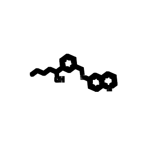 CCCCC(O)c1cccc(CSc2ccc3ncccc3c2)c1